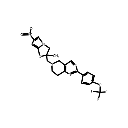 CC1(CN2CCc3nc(-c4ccc(OC(F)(F)F)cc4)ncc3C2)Cn2cc([N+](=O)[O-])nc2O1